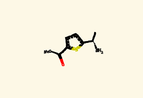 B[C@@H](C)c1ccc(C(=O)OC)s1